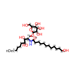 CCCCCCCCCCCCCC[C@@H](O)[C@@H](O)[C@H](CO[C@H]1OC(CO)[C@H](O)[C@@H](O)[C@@H]1O)NC(=O)CCCCCCCCCCCO